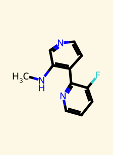 CNc1cnccc1-c1ncccc1F